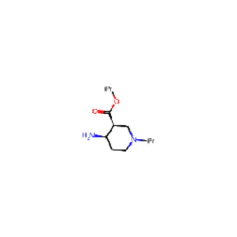 CC(C)OC(=O)[C@H]1CN(C(C)C)CC[C@H]1N